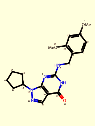 COc1ccc(CNc2nc3c(cnn3C3CCCC3)c(=O)[nH]2)c(OC)c1